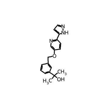 CC(C)(O)c1cccc(COc2ccc(-c3ccn[nH]3)nc2)c1